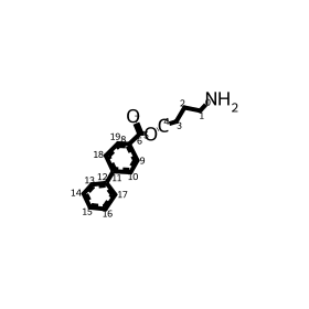 NCCCCOC(=O)c1ccc(-c2ccccc2)cc1